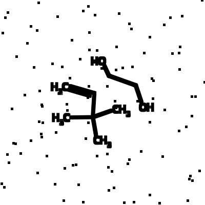 C=CC(C)(C)C.OCCO